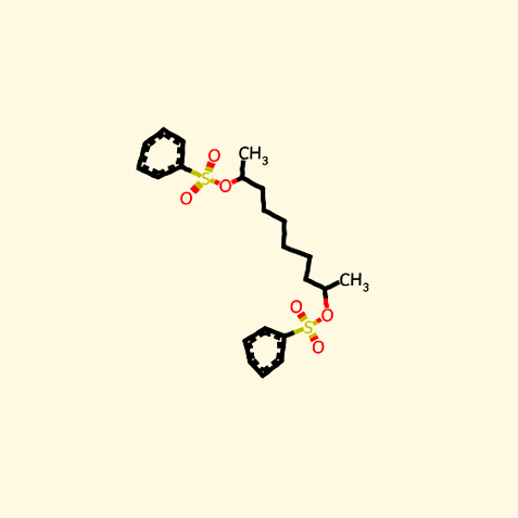 CC(CCCCCCC(C)OS(=O)(=O)c1ccccc1)OS(=O)(=O)c1ccccc1